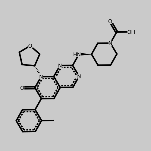 Cc1ccccc1-c1cc2cnc(N[C@@H]3CCCN(C(=O)O)C3)nc2n([C@@H]2CCOC2)c1=O